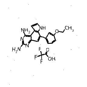 CCOc1cccc(-c2cc3nc(N)nc(N)c3c3cc[nH]c23)c1.O=C(O)C(F)(F)F